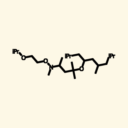 CC(C)CC(C)CC(CC(C)C)OC(C)(C)CC(C)N(C)OCCOC(C)C